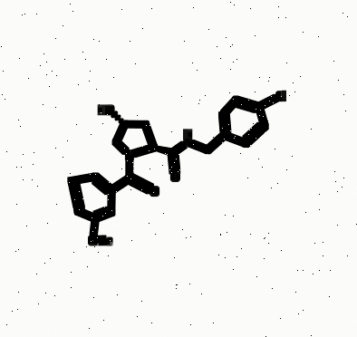 COc1cccc(C(=O)N2C[C@H](O)C[C@H]2C(=O)NCc2ccc(Cl)cc2)c1